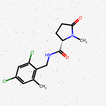 Cc1cc(Cl)cc(Cl)c1CNC(=O)[C@@H]1CCC(=O)N1C